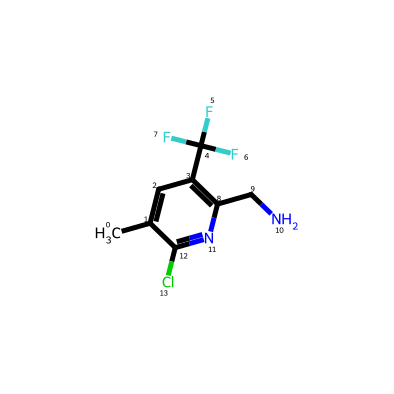 Cc1cc(C(F)(F)F)c(CN)nc1Cl